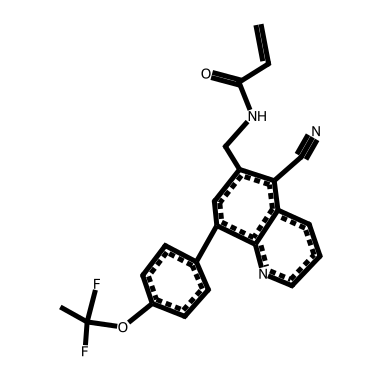 C=CC(=O)NCc1cc(-c2ccc(OC(C)(F)F)cc2)c2ncccc2c1C#N